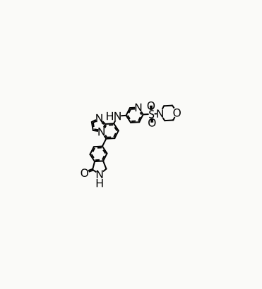 O=C1NCc2cc(-c3ccc(Nc4ccc(S(=O)(=O)N5CCOCC5)nc4)c4nccn34)ccc21